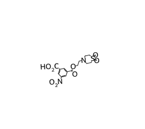 O=C(O)c1cc(C(=O)OCCN2CCS(=O)(=O)CC2)cc([N+](=O)[O-])c1